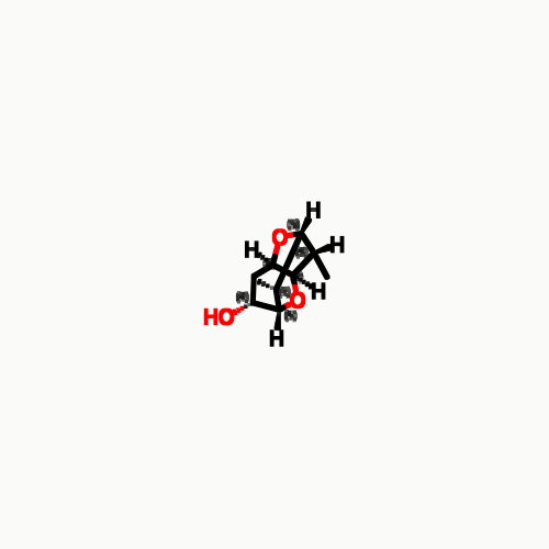 C[C@@H]1[C@@H]2O[C@@H]3C[C@@H](O)[C@H]1O[C@@H]3[C@H]2C